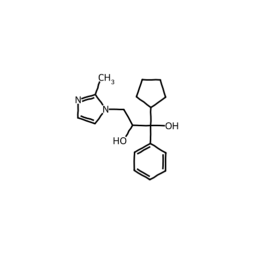 Cc1nccn1CC(O)C(O)(c1ccccc1)C1CCCC1